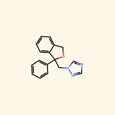 c1ccc(C2(Cn3cncn3)OCc3ccccc32)cc1